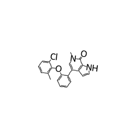 Cc1cccc(Cl)c1Oc1ccccc1-c1cn(C)c(=O)c2[nH]ccc12